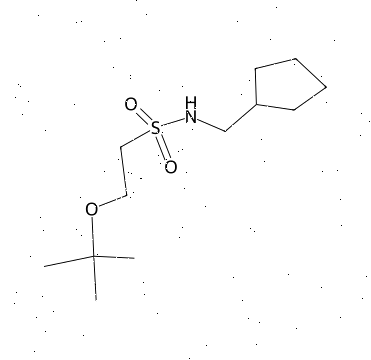 CC(C)(C)OCCS(=O)(=O)NCC1CCCC1